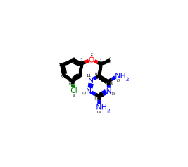 CC(Oc1cccc(Cl)c1)c1nnc(N)nc1N